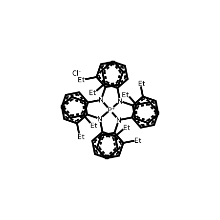 CCc1ccccc1N(c1ccccc1CC)[P+](N(c1ccccc1CC)c1ccccc1CC)(N(c1ccccc1CC)c1ccccc1CC)N(c1ccccc1CC)c1ccccc1CC.[Cl-]